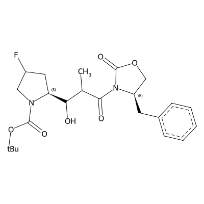 CC(C(=O)N1C(=O)OC[C@H]1Cc1ccccc1)C(O)[C@@H]1CC(F)CN1C(=O)OC(C)(C)C